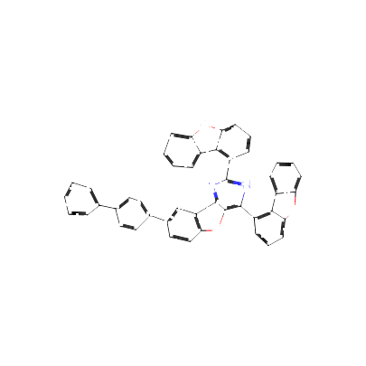 c1ccc(-c2ccc(-c3ccc4oc5c(-c6cccc7oc8ccccc8c67)nc(-c6cccc7oc8ccccc8c67)nc5c4c3)cc2)cc1